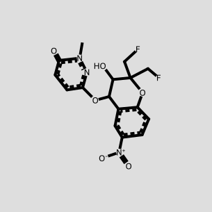 Cn1nc(OC2c3cc([N+](=O)[O-])ccc3OC(CF)(CF)C2O)ccc1=O